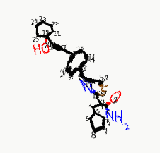 NC(=O)C(CC1CCCC1)c1nc(-c2ccc(C#CC3(O)CCCCC3)cc2)cs1